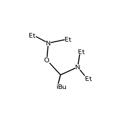 CCC(C)C(ON(CC)CC)N(CC)CC